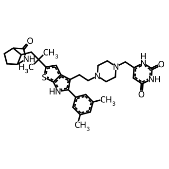 Cc1cc(C)cc(-c2[nH]c3sc(C(C)(C)CC4C5CCC4C(=O)N5)cc3c2CCN2CCN(Cc3cc(=O)[nH]c(=O)[nH]3)CC2)c1